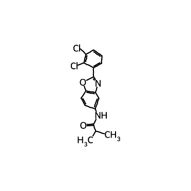 CC(C)C(=O)Nc1ccc2oc(-c3cccc(Cl)c3Cl)nc2c1